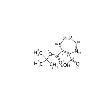 CC(C)(C)OC(=O)C1=C(C(=O)O)N=CC=CS1